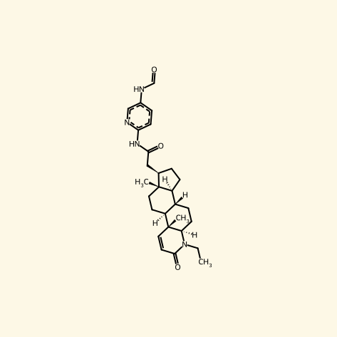 CCN1C(=O)C=C[C@]2(C)[C@H]3CC[C@]4(C)[C@@H](CC(=O)Nc5ccc(NC=O)cn5)CC[C@H]4[C@@H]3CC[C@@H]12